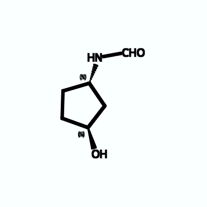 O=CN[C@H]1CC[C@H](O)C1